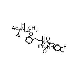 CC(=O)[C@@H](NC[C@@H](C)Oc1ccccc1CCCNC(=O)[C@@H](Cc1ccc(F)c(F)c1)NC(=O)C(C)C)C1CC1